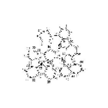 c1ccc(-c2cccc3c2sc2c(N(c4cccc([Si](c5ccccc5)(c5ccccc5)c5ccccc5)c4)c4cccc5ccccc45)cccc23)cc1